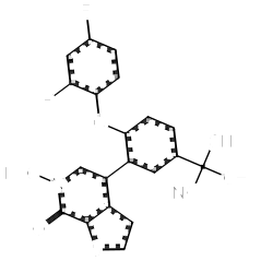 Cn1cc(-c2cc(C(C)(C)C#N)ccc2Oc2ccc(F)cc2F)c2ccsc2c1=O